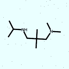 CC(C)NCC(C)(C)CN(C)C